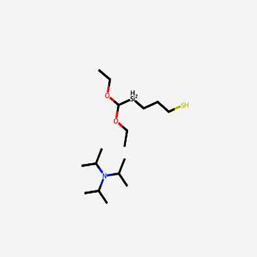 CC(C)N(C(C)C)C(C)C.CCOC(OCC)[SiH2]CCCS